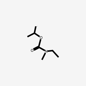 [CH2]C(C)OC(=O)N(C)CC